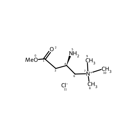 COC(=O)C[C@@H](N)C[N+](C)(C)C.[Cl-]